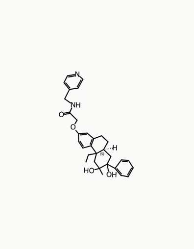 CCC12CC(C)(O)C(O)(c3ccccc3)C[C@@H]1CCc1cc(OCC(=O)NCc3ccncc3)ccc12